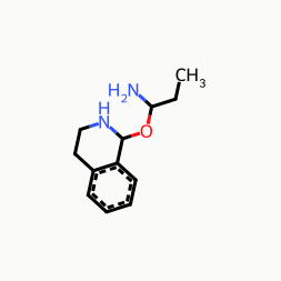 CCC(N)OC1NCCc2ccccc21